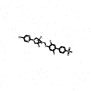 CCc1cnc(N2C[C@@H]3[C@@H](COc4cc(F)c(-c5ccc(S(C)(=O)=O)cc5)cc4F)[C@@H]3C2)nc1